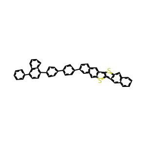 c1ccc(-c2ccc(-c3ccc(-c4ccc(-c5ccc6cc7c(cc6c5)sc5c6cc8ccccc8cc6sc75)cc4)cc3)c3ccccc23)cc1